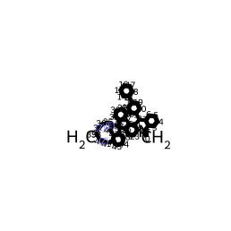 C=Nc1ccccc1C(c1ccc(-c2ccccc2)cc1)c1cccc2c1-c1ccccc1C21/C2=C/C=C\C(=C)/C=C\c3cccc1c3C2